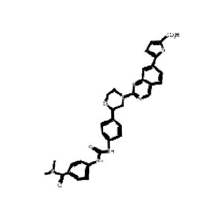 CN(C)C(=O)c1ccc(NC(=O)Nc2ccc(C3CN(c4ncc5ccc(-c6ccc(C(=O)O)o6)cc5n4)CCO3)cc2)cc1